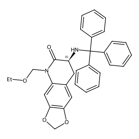 CCOCN1C(=O)[C@@H](NC(c2ccccc2)(c2ccccc2)c2ccccc2)Cc2cc3c(cc21)OCO3